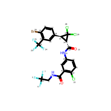 O=C(NCC(F)(F)F)c1cc(NC(=O)[C@@H]2[C@@H](c3ccc(Br)c(C(F)(F)F)c3)C2(Cl)Cl)ccc1Cl